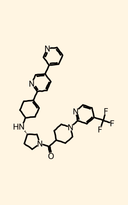 O=C(C1CCN(c2cc(C(F)(F)F)ccn2)CC1)N1CC[C@H](NC2CC=C(c3ccc(-c4cccnc4)cn3)CC2)C1